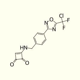 O=c1cc(NCc2ccc(-c3noc(C(F)(F)Cl)n3)cc2)c1=O